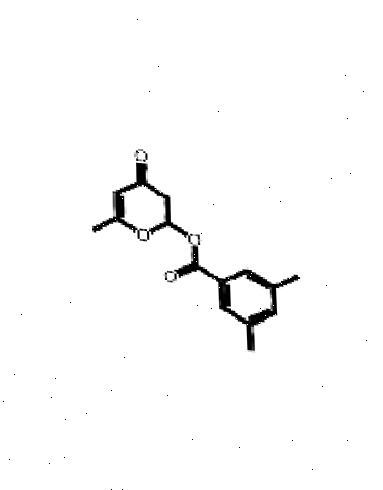 CC1=CC(=O)CC(OC(=O)c2cc(C)cc(C)c2)O1